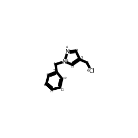 ClCc1cnn(Cc2ccccc2)c1